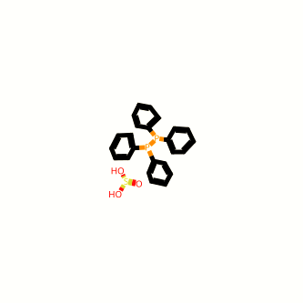 O=S(O)O.c1ccc(P(c2ccccc2)P(c2ccccc2)c2ccccc2)cc1